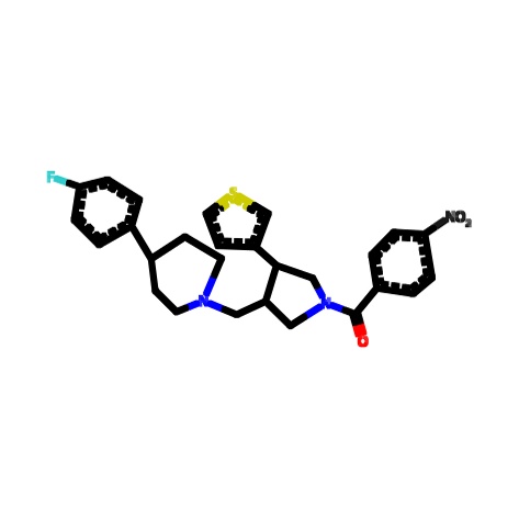 O=C(c1ccc([N+](=O)[O-])cc1)N1CC(CN2CCC(c3ccc(F)cc3)CC2)C(c2ccsc2)C1